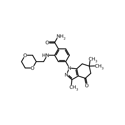 Cc1nn(-c2ccc(C(N)=O)c(NCC3COCCO3)c2)c2c1C(=O)CC(C)(C)C2